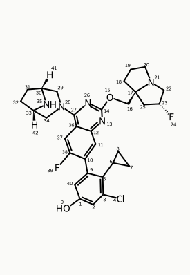 Oc1cc(Cl)c(C2CC2)c(-c2cc3nc(OC[C@@]45CCCN4C[C@H](F)C5)nc(N4C[C@H]5CC[C@@H](C4)N5)c3cc2F)c1